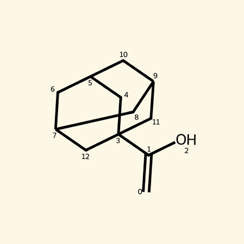 C=C(O)C12CC3CC(CC(C3)C1)C2